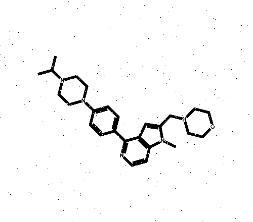 CC(C)N1CCN(c2ccc(-c3nccc4c3cc(CN3CCOCC3)n4C)cc2)CC1